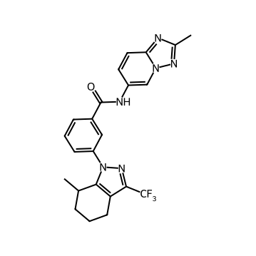 Cc1nc2ccc(NC(=O)c3cccc(-n4nc(C(F)(F)F)c5c4C(C)CCC5)c3)cn2n1